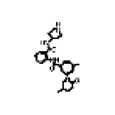 CC1C=CC(C(=O)NC2=CCCC=C2C(=O)NC2CCNCC2)=CC(N2CC(C)CCC2=O)=C1